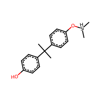 C[SiH](C)Oc1ccc(C(C)(C)c2ccc(O)cc2)cc1